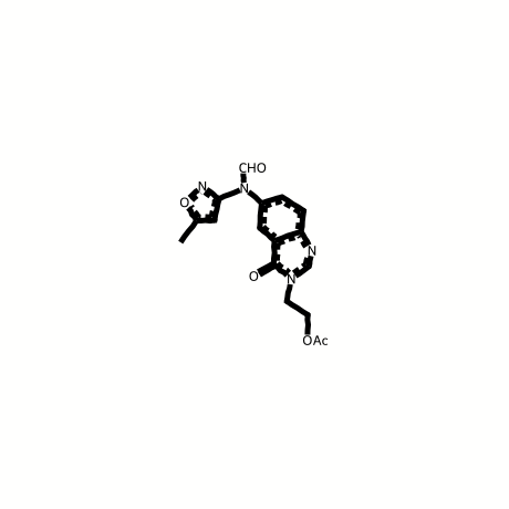 CC(=O)OCCn1cnc2ccc(N(C=O)c3cc(C)on3)cc2c1=O